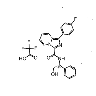 O=C(N[C@@H](CO)c1ccccc1)c1nc(-c2ccc(F)cc2)c2ccccn12.O=C(O)C(F)(F)F